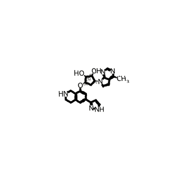 Cc1ncnc2c1ccn2[C@@H]1C[C@H](Oc2cc(-c3cc[nH]n3)cc3c2CNCC3)[C@@H](O)[C@H]1O